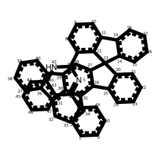 c1ccc(C2=NC(c3cccc4c3C3(c5ccccc5-4)c4ccccc4-c4c3cc3c5c(cccc45)-c4ccccc4-3)Nc3ccccc32)cc1